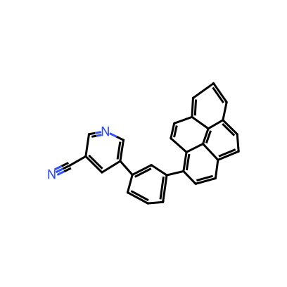 N#Cc1cncc(-c2cccc(-c3ccc4ccc5cccc6ccc3c4c56)c2)c1